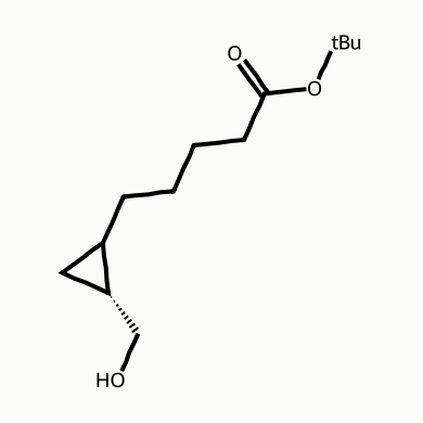 CC(C)(C)OC(=O)CCCCC1C[C@H]1CO